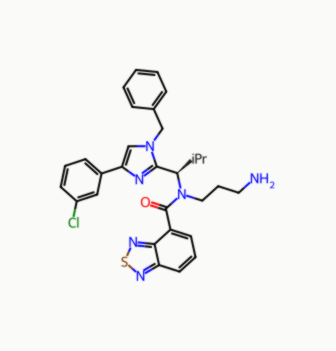 CC(C)[C@H](c1nc(-c2cccc(Cl)c2)cn1Cc1ccccc1)N(CCCN)C(=O)c1cccc2nsnc12